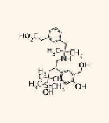 CC(C)(Cc1cccc(CC(=O)O)c1)NC[C@H](CC(C)(C)[Si](C)(C)O)c1ccc(O)c(CO)c1